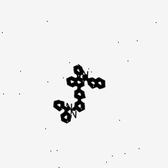 c1ccc(-c2nc(-c3cccc(-c4ccc(-c5cc6c(-c7ccc8ccccc8c7)nc7ccccc7c6c6ccccc56)cc4)c3)nc3ccccc23)cc1